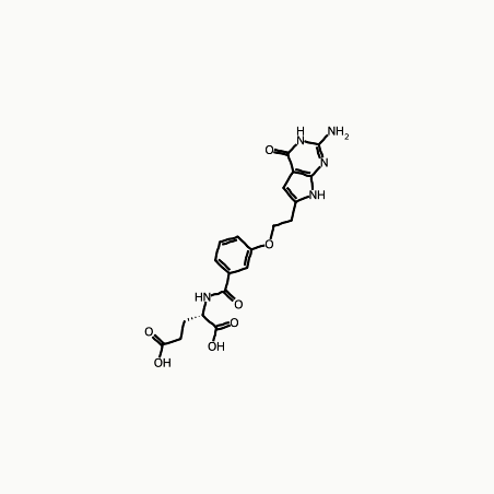 Nc1nc2[nH]c(CCOc3cccc(C(=O)N[C@@H](CCC(=O)O)C(=O)O)c3)cc2c(=O)[nH]1